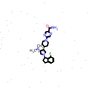 CN(C)[C@H]1CN(C2CCc3cccc(F)c32)C[C@@H]1C1CCN(c2cnc(C(N)=O)cn2)CC1